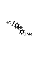 COc1ccc(CNc2ccc(C(=O)O)cn2)cc1